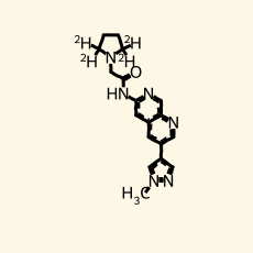 [2H]C1([2H])CCC([2H])([2H])N1CC(=O)Nc1cc2cc(-c3cnn(C)c3)cnc2cn1